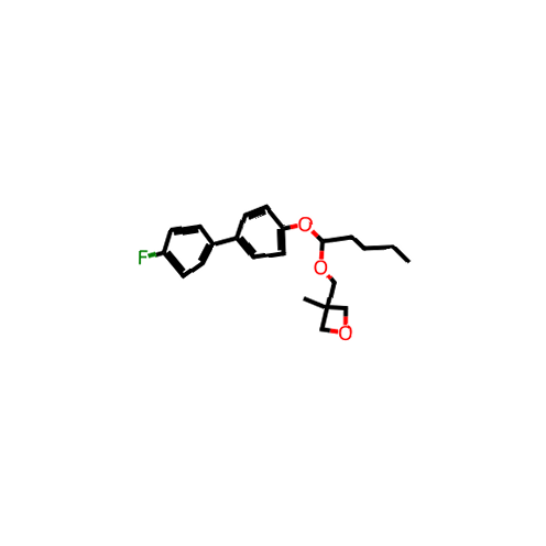 CCCCC(OCC1(C)COC1)Oc1ccc(-c2ccc(F)cc2)cc1